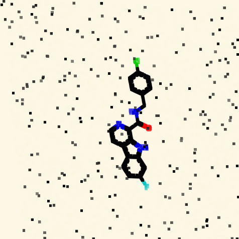 O=C(NCc1ccc(Cl)cc1)c1nccc2c1[nH]c1cc(F)ccc12